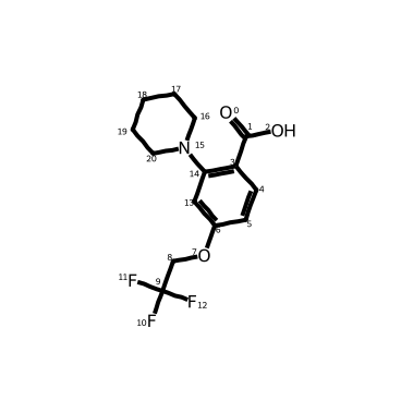 O=C(O)c1ccc(OCC(F)(F)F)cc1N1CCCCC1